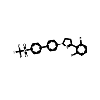 O=S(=O)(c1ccc(-c2ccc([C@H]3CCC(c4c(F)cccc4F)=N3)cc2)cc1)C(F)(F)F